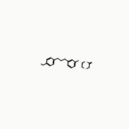 CCc1ccc(CCCc2cccc(C[C@H]3CNCC(=O)N3)c2)cc1